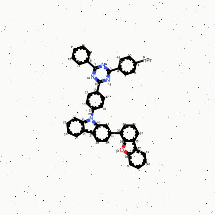 CCCc1ccc(-c2nc(-c3ccccc3)nc(-c3ccc(-n4c5ccccc5c5ccc(-c6cccc7c6oc6ccccc67)cc54)cc3)n2)cc1